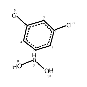 Clc1cccc(Cl)c1.OBO